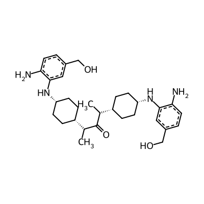 CC(C(=O)C(C)[C@H]1CC[C@@H](Nc2cc(CO)ccc2N)CC1)[C@H]1CC[C@@H](Nc2cc(CO)ccc2N)CC1